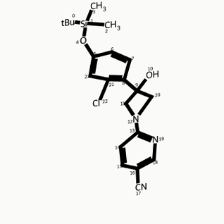 CC(C)(C)[Si](C)(C)Oc1ccc(C2(O)CN(c3ccc(C#N)cn3)C2)c(Cl)c1